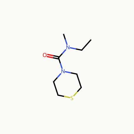 CCN(C)C(=O)N1CCSCC1